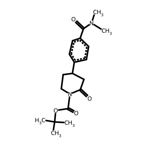 CN(C)C(=O)c1ccc(C2CCN(C(=O)OC(C)(C)C)C(=O)C2)cc1